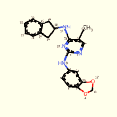 Cc1cnc(Nc2ccc3c(c2)OCO3)nc1NC1Cc2ccccc2C1